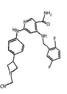 [C-]#[N+]CN1CC(c2ccc(Nc3cc(NCc4cc(F)ccc4F)c(C(N)=O)cn3)cc2)C1